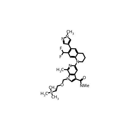 CNC(=O)c1cn(COCCS(C)(C)C)c2c(C)nc(N3CCCc4cc(-c5cnn(C)c5)c(C(F)F)cc43)cc12